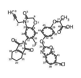 C#CCN1C(=O)COc2cc(F)c(N3C(=O)C4=C(CCCC4)C3=O)cc21.CC(Oc1ccc(Oc2nc3ccc(Cl)cc3o2)cc1)C(=O)O